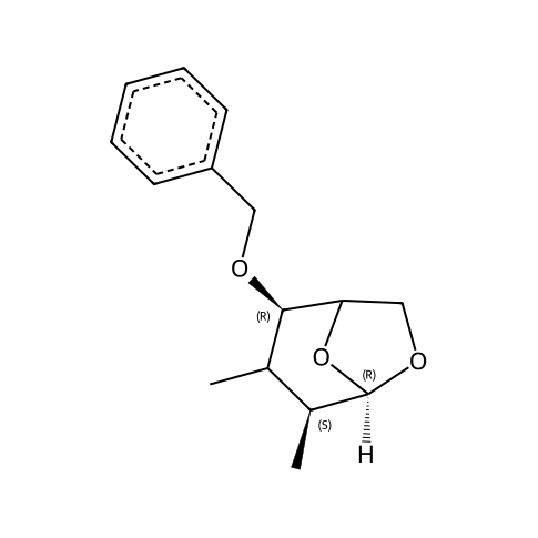 CC1[C@@H](OCc2ccccc2)C2CO[C@H](O2)[C@H]1C